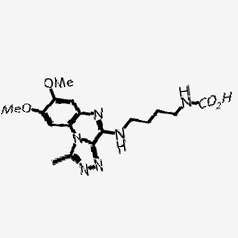 COc1cc2nc(NCCCCNC(=O)O)c3nnc(C)n3c2cc1OC